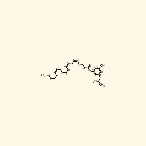 CC/C=C\C/C=C\C/C=C\C/C=C\C/C=C\CCCC(=O)Oc1cc(O)cc(OC(C)C)c1